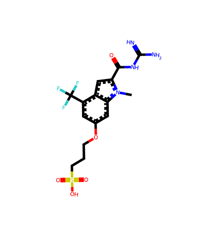 Cn1c(C(=O)NC(=N)N)cc2c(C(F)(F)F)cc(OCCCS(=O)(=O)O)cc21